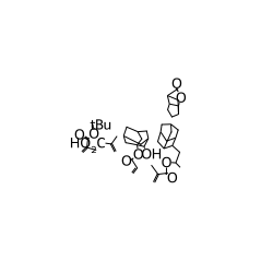 C=C(C)C(=O)O.C=C(C)C(=O)OC(C)(C)C.C=C(C)C(=O)OC(C)CC1C2CC3CC(C2)CC1C3.C=CC(=O)OC12CC3CC(CC(C3)C1O)C2.O=C1OC2C3CCC2C1C3